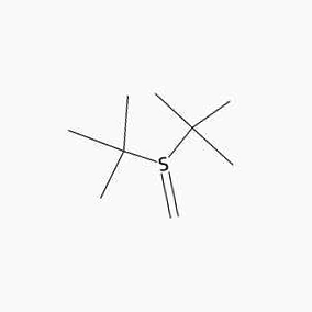 C=S(C(C)(C)C)C(C)(C)C